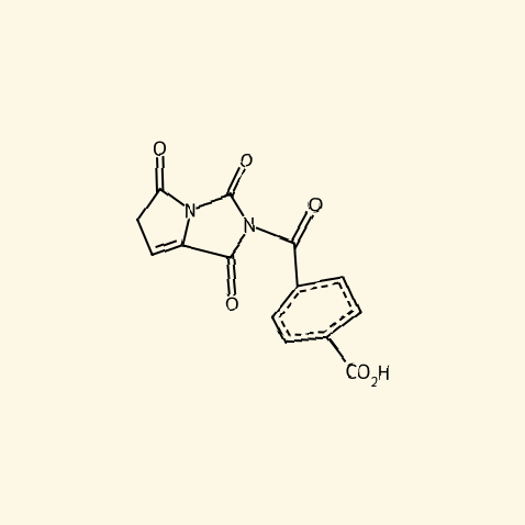 O=C(O)c1ccc(C(=O)N2C(=O)C3=CCC(=O)N3C2=O)cc1